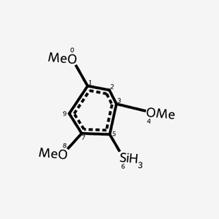 COc1cc(OC)c([SiH3])c(OC)c1